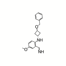 COc1ccc(N[C@H]2C[C@H](OCc3ccccc3)C2)c(C=N)c1